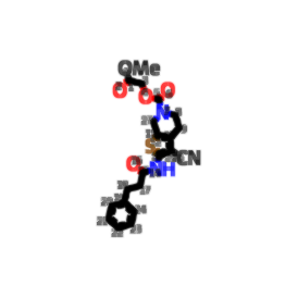 COC(=O)COC(=O)N1CCc2c(sc(NC(=O)CCc3ccccc3)c2C#N)C1